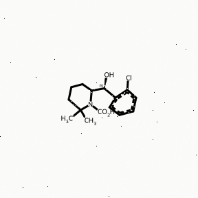 CC1(C)CCCC([C@@H](O)c2ccccc2Cl)N1C(=O)O